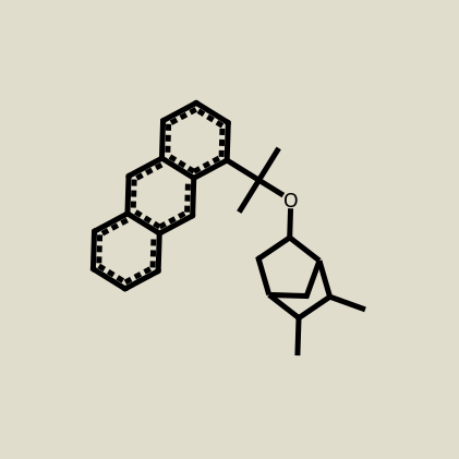 CC1C2CC(OC(C)(C)c3cccc4cc5ccccc5cc34)C(C2)C1C